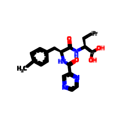 Cc1ccc(C[C@H](NC(=O)c2cnccn2)C(=O)N[C@@H](CC(C)C)B(O)O)cc1